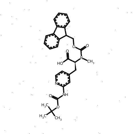 CN(C(=O)OCC1c2ccccc2-c2ccccc21)[C@@H](Cc1ccnc(NC(=O)OC(C)(C)C)c1)C(=O)O